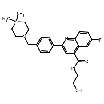 C[Si]1(C)CCN(Cc2ccc(-c3cc(C(=O)NCCO)c4cc(F)ccc4n3)cc2)CC1